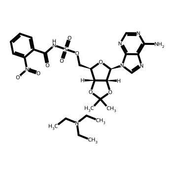 CC1(C)O[C@@H]2[C@H](O1)[C@@H](COS(=O)(=O)NC(=O)c1ccccc1[N+](=O)[O-])O[C@H]2n1cnc2c(N)ncnc21.CCN(CC)CC